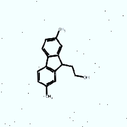 Cc1ccc2c(c1)C(CCO)c1cc(C)ccc1-2